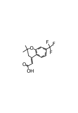 CC1(C)CC(=CC(=O)O)c2ccc(C(F)(F)F)cc2O1